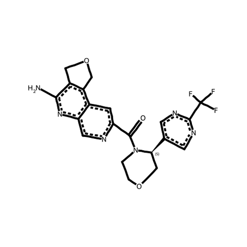 Nc1nc2cnc(C(=O)N3CCOC[C@@H]3c3cnc(C(F)(F)F)nc3)cc2c2c1COC2